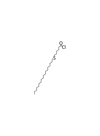 CCCCCCCCCCCCCCCCCCSCCCCCC(=O)Cl